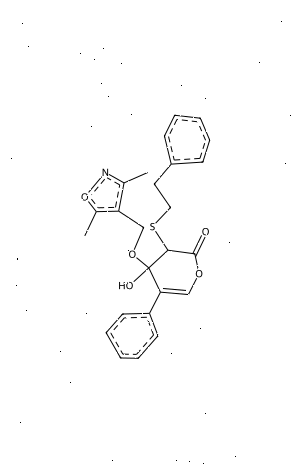 Cc1noc(C)c1COC1(O)C(c2ccccc2)=COC(=O)C1SCCc1ccccc1